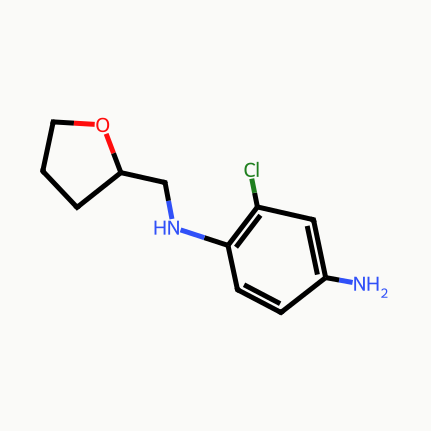 Nc1ccc(NCC2CCCO2)c(Cl)c1